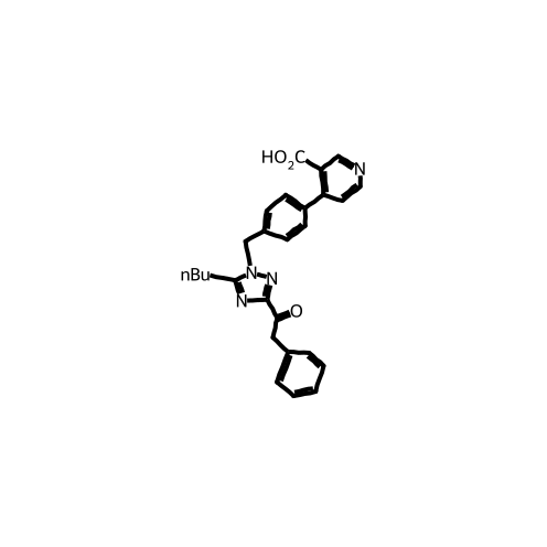 CCCCc1nc(C(=O)Cc2ccccc2)nn1Cc1ccc(-c2ccncc2C(=O)O)cc1